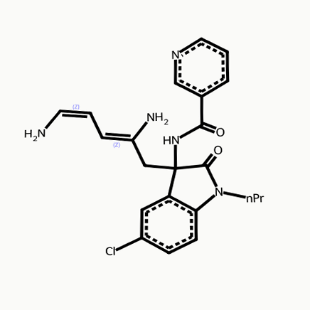 CCCN1C(=O)C(C/C(N)=C/C=C\N)(NC(=O)c2cccnc2)c2cc(Cl)ccc21